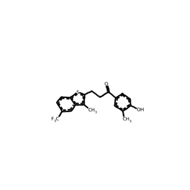 Cc1cc(C(=O)CCc2sc3ccc(C(F)(F)F)cc3c2C)ccc1O